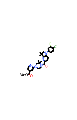 COC(=O)c1ccnc(N2CCN(C(=O)c3ccc4c(n3)C(C)(C)CN4c3ccc(Cl)c(F)c3)C(C)(C)C2)c1